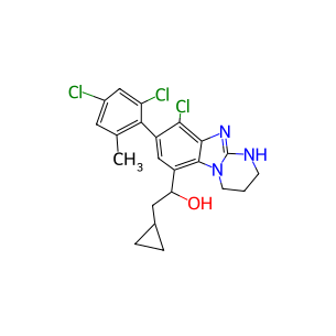 Cc1cc(Cl)cc(Cl)c1-c1cc(C(O)CC2CC2)c2c(nc3n2CCCN3)c1Cl